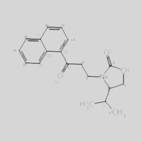 CC(C)C1COC(=O)N1CCC(=O)c1cccc2ccccc12